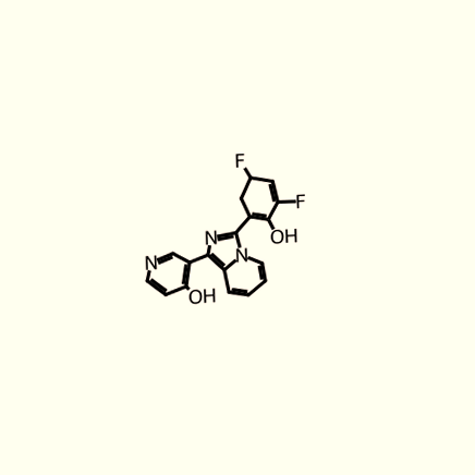 OC1=C(c2nc(-c3cnccc3O)c3ccccn23)CC(F)C=C1F